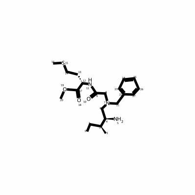 CC[C@H](C)[C@H](N)CN(CC(=O)N[C@@H](CCSC)C(=O)OC)Cc1ccccc1